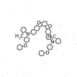 Cc1ccccc1N(c1ccc(Oc2ccccc2)cc1)c1ccc2cc3c(cc2c1)oc1ccc2oc4cc5cc(N(c6ccc(Oc7ccccc7)cc6)c6ccccc6C)ccc5cc4c2c13